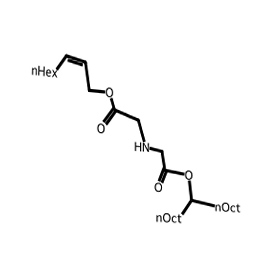 CCCCCC/C=C\COC(=O)CNCC(=O)OC(CCCCCCCC)CCCCCCCC